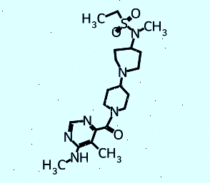 CCS(=O)(=O)N(C)C1CCN(C2CCN(C(=O)c3ncnc(NC)c3C)CC2)CC1